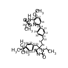 CCN1C(=O)N=NC1(CCCc1ccc(-c2ccc(OC)c(NS(=O)(=O)CC)n2)cc1)Cc1ccc(C(C)(C)C)cc1